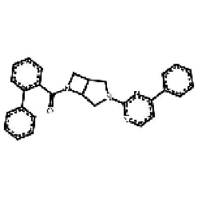 O=C(c1ccccc1-c1ccccc1)N1CC2CN(c3nccc(-c4ccccc4)n3)CC21